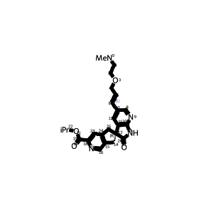 CNCCOC/C=C/c1cnc2c(c1)[C@@]1(Cc3cnc(C(=O)OC(C)C)cc3C1)C(=O)N2